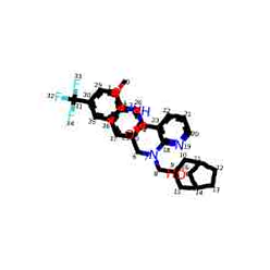 COc1ccc(CN(CC2CC3CCC(C2)C3O)c2ncccc2C(=O)Nc2ccc(C(F)(F)F)cc2)cc1